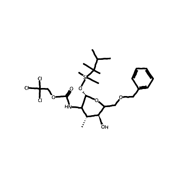 CC(C)C(C)(C)[Si](C)(C)O[C@@H]1OC(COCc2ccccc2)[C@@H](O)[C@H](C)C1NC(=O)OCC(Cl)(Cl)Cl